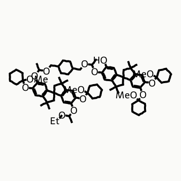 CCOC(C)Oc1cc2c(cc1OC1(OC)CCCCC1)C(C)(C)CC21CC(C)(C)c2cc(OC3(OC)CCCCC3)c(OC(C)OCC3CCC(COC(C)Oc4cc5c(cc4O)C4(CC5(C)C)CC(C)(C)c5cc(OC6(OC)CCCCC6)c(OC6(OC)CCCCC6)cc54)CC3)cc21